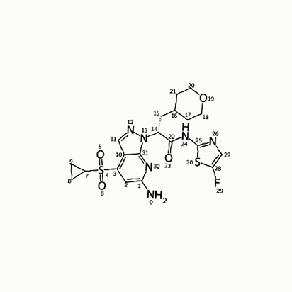 Nc1cc(S(=O)(=O)C2CC2)c2cnn([C@H](CC3CCOCC3)C(=O)Nc3ncc(F)s3)c2n1